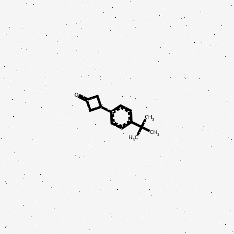 CC(C)(C)c1ccc(C2CC(=O)C2)cc1